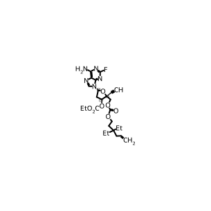 C#C[C@]1(COC(=O)OCCC(CC)(CC)CC=C)O[C@@H](n2cnc3c(N)nc(F)nc32)C[C@@H]1OC(=O)OCC